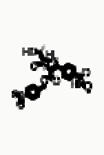 CONC(=O)c1ccc(C2=C(C(=O)OCc3ccc([N+](=O)[O-])cc3)N3C(=O)[C@H]([C@@H](C)O)[C@H]3S2)cc1